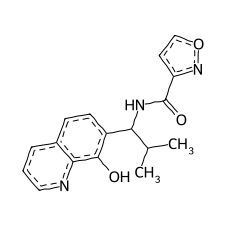 CC(C)C(NC(=O)c1ccon1)c1ccc2cccnc2c1O